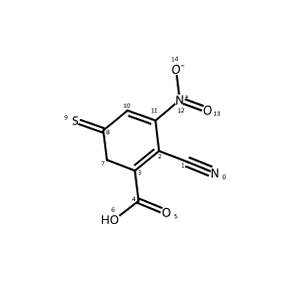 N#CC1=C(C(=O)O)CC(=S)C=C1[N+](=O)[O-]